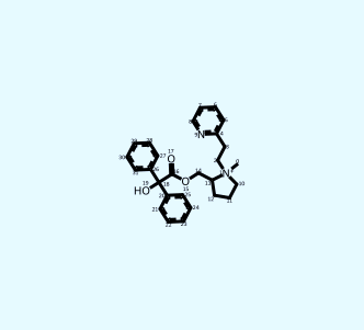 C[N+]1(CCc2ccccn2)CCCC1COC(=O)C(O)(c1ccccc1)c1ccccc1